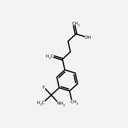 C=C(O)CCC(=C)c1ccc(C)c(C(C)(N)F)c1